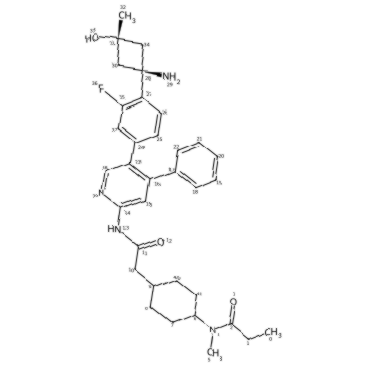 CCC(=O)N(C)C1CCC(CC(=O)Nc2cc(-c3ccccc3)c(-c3ccc([C@]4(N)C[C@](C)(O)C4)c(F)c3)cn2)CC1